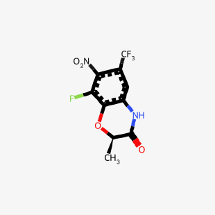 C[C@H]1Oc2c(cc(C(F)(F)F)c([N+](=O)[O-])c2F)NC1=O